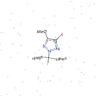 CCCCCCCC(C)(CCCCC)n1nc(I)c(OC)n1